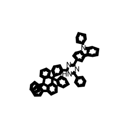 c1ccc(C2=NC(c3ccc4c(c3)c3ccccc3n4-c3ccccc3)=NC(c3cccc(C4(c5ccccc5)c5ccccc5C5(c6ccccc6)c6ccccc6-c6cccc4c65)c3)N2)cc1